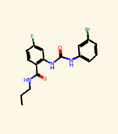 CCCNC(=O)c1ccc(F)cc1NC(=O)Nc1cccc(Br)c1